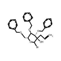 C=CC[C@]1(O)C(Br)O[C@H](COCc2ccccc2)[C@@H](OCc2ccccc2)[C@@H]1OCc1ccccc1